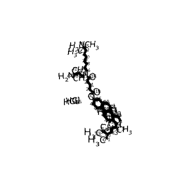 CC[C@H](CC[C@@H](C)[C@H]1CC[C@H]2[C@@H]3CC=C4C[C@@H](OC(=O)CCCC(=O)N(CCCCCCCC(C)(C)N)CCC(C)(C)N)CC[C@]4(C)[C@H]3CC[C@]12C)C(C)C.Cl.Cl